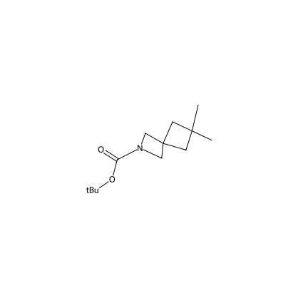 CC1(C)CC2(CN(C(=O)OC(C)(C)C)C2)C1